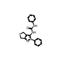 O=C(Nc1ccccc1)Nc1c2c(nn1-c1ccccc1)CSC2